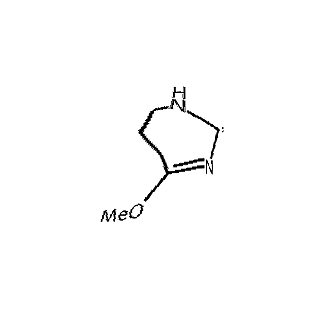 COC1=N[C]NC1